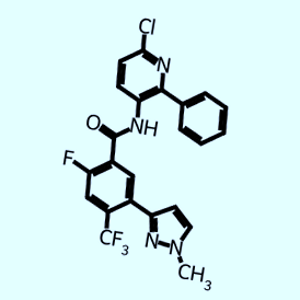 Cn1ccc(-c2cc(C(=O)Nc3ccc(Cl)nc3-c3ccccc3)c(F)cc2C(F)(F)F)n1